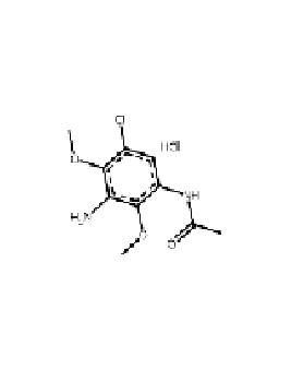 COc1c(Cl)cc(NC(C)=O)c(OC)c1N.Cl